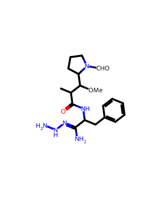 COC(C(C)C(=O)NC(Cc1ccccc1)/C(N)=N/NN)C1CCCN1C=O